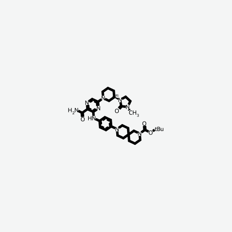 CN1CCN([C@@H]2CCCN(c3cnc(C(N)=O)c(Nc4ccc(N5CCC6(CCCN(C(=O)OC(C)(C)C)C6)CC5)cc4)n3)C2)C1=O